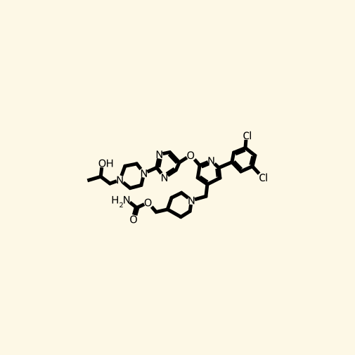 CC(O)CN1CCN(c2ncc(Oc3cc(CN4CCC(COC(N)=O)CC4)cc(-c4cc(Cl)cc(Cl)c4)n3)cn2)CC1